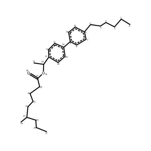 CCCCCCc1ccc(-c2ccc(C(C)OC(=O)CCCCC(C)CCC)cc2)cc1